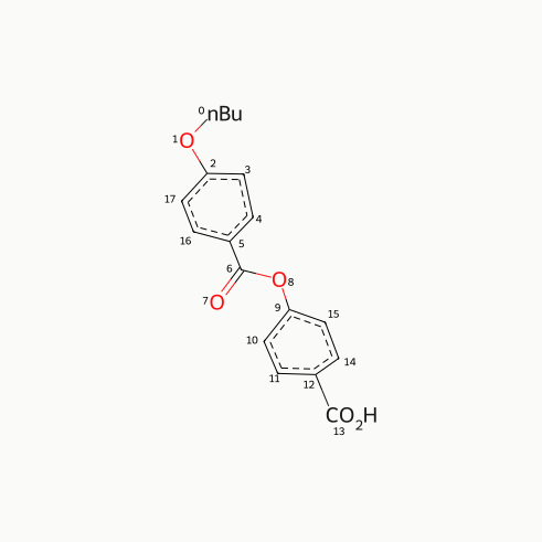 CCCCOc1ccc(C(=O)Oc2ccc(C(=O)O)cc2)cc1